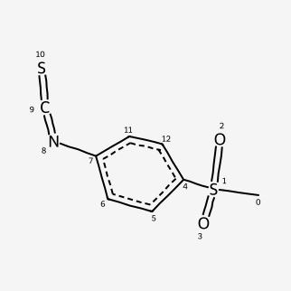 CS(=O)(=O)c1ccc(N=C=S)cc1